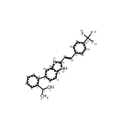 CC(O)c1ccccc1-c1ccc2[nH]c(C=Cc3ccc(C(F)(F)F)cc3)nc2c1